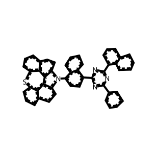 c1ccc(-c2nc(-c3cccc4ccccc34)nc(-c3ccc(-n4c5ccc6cccc7sc8cccc9ccc4c(c98)c5c67)c4ccccc34)n2)cc1